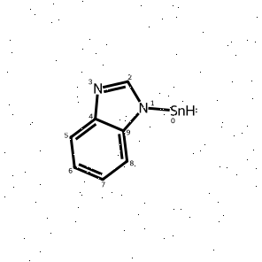 [SnH][n]1cnc2ccccc21